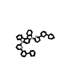 C1=CCC(C2C=CC=C(C3=NC(n4c5c(c6c7c8ccccc8n(-c8cccc(-c9cccc(-c%10ccccc%10)c9)n8)c7ccc64)CCC=C5)=CCC3)C2)C=C1